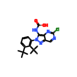 CC(C)(C)c1cccc(-n2nc3cnc(Cl)nc3c2NC(=O)O)c1C(C)(C)C